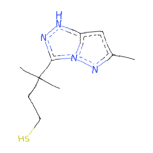 Cc1cc2[nH]nc(C(C)(C)CCS)n2n1